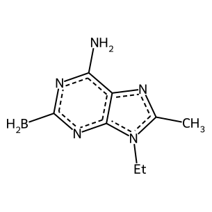 Bc1nc(N)c2nc(C)n(CC)c2n1